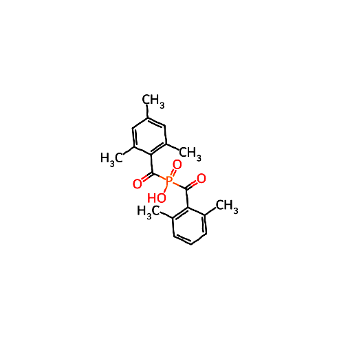 Cc1cc(C)c(C(=O)P(=O)(O)C(=O)c2c(C)cccc2C)c(C)c1